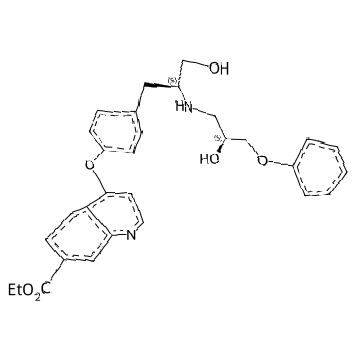 CCOC(=O)c1ccc2c(Oc3ccc(C[C@@H](CO)NC[C@H](O)COc4ccccc4)cc3)ccnc2c1